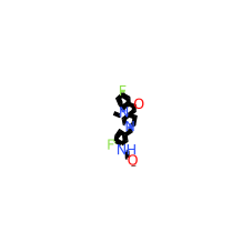 CCN1c2ccc(F)cc2C(=O)CC12CCN(Cc1ccc(F)c(NCCOC)c1)CC2